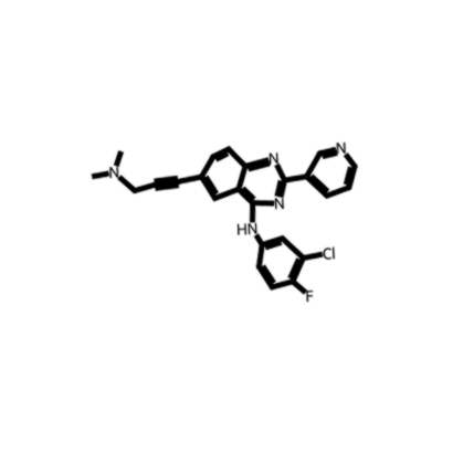 CN(C)CC#Cc1ccc2nc(-c3cccnc3)nc(Nc3ccc(F)c(Cl)c3)c2c1